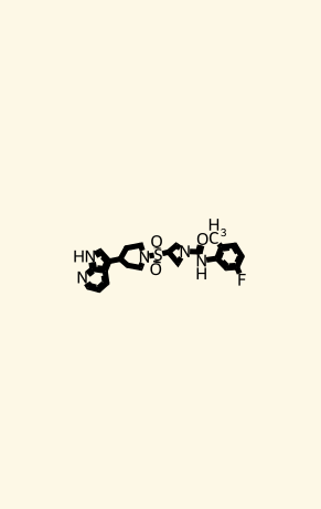 Cc1ccc(F)cc1NC(=O)N1CC(S(=O)(=O)N2CCC(c3c[nH]c4ncccc34)CC2)C1